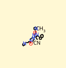 CN1CCC[C@H]1COc1nc2c(c(N3CCN(C(=O)/C=C/CN4CCCC4)[C@@H](CC#N)C3)n1)CC[C@]1(CCc3ccccc31)C2